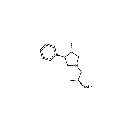 CO[C@@H](C)CN1C[C@@H](C)[C@H](c2ccccc2)C1